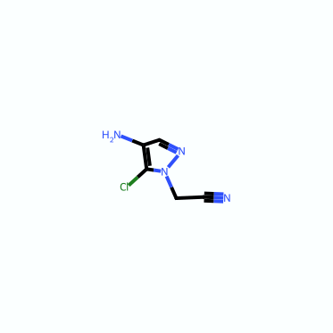 N#CCn1ncc(N)c1Cl